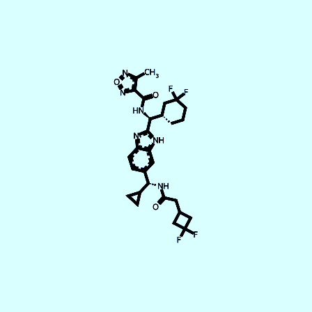 Cc1nonc1C(=O)N[C@H](c1nc2ccc([C@H](NC(=O)CC3CC(F)(F)C3)C3CC3)cc2[nH]1)[C@H]1CCCC(F)(F)C1